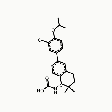 CC(C)Oc1ccc(-c2ccc3c(c2)CCC(C)(C)[C@@H]3NC(=O)O)cc1Cl